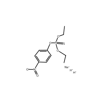 CCOP(=S)(OCC)Oc1ccc([N+](=O)[O-])cc1.[H+].[H+].[Na+]